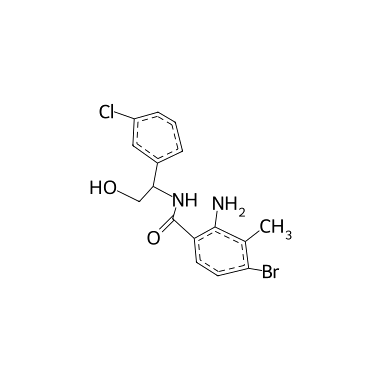 Cc1c(Br)ccc(C(=O)NC(CO)c2cccc(Cl)c2)c1N